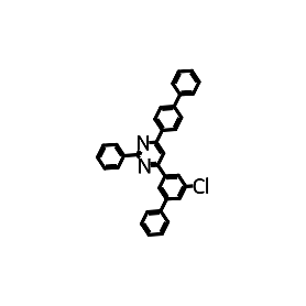 Clc1cc(-c2ccccc2)cc(-c2cc(-c3ccc(-c4ccccc4)cc3)nc(-c3ccccc3)n2)c1